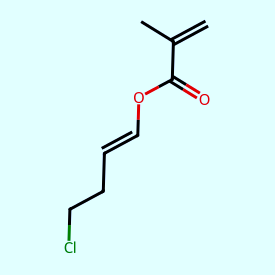 C=C(C)C(=O)OC=CCCCl